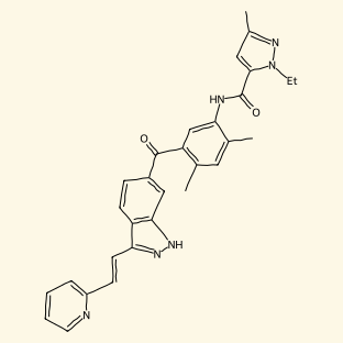 CCn1nc(C)cc1C(=O)Nc1cc(C(=O)c2ccc3c(C=Cc4ccccn4)n[nH]c3c2)c(C)cc1C